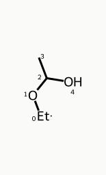 C[CH]OC(C)O